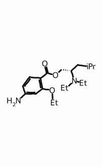 CCOc1cc(N)ccc1C(=O)OC[C@H](CC(C)C)N(CC)CC